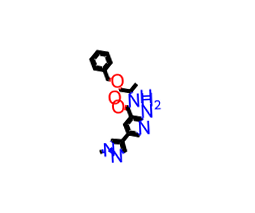 CC(NC(=O)c1cc(-c2cnn(C)c2)cnc1N)C(=O)OCc1ccccc1